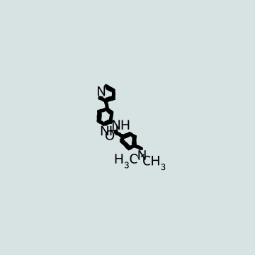 CN(C)Cc1ccc(C(=O)Nc2cc(-c3cccnc3)ccc2N)cc1